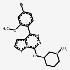 COc1cc(Br)ccc1-c1nnc(N[C@@H]2CCCN(C)C2)n2nccc12